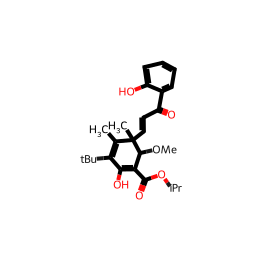 COC1C(C(=O)OC(C)C)=C(O)C(C(C)(C)C)=C(C)C1(C)C=CC(=O)c1ccccc1O